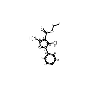 CCOC(=O)c1c(N)sc(-c2ccccc2)c1Cl